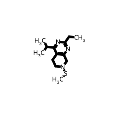 CCc1nc2c(c(C(C)C)n1)CCN(SC)C2